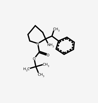 CC(c1ccccc1)C1(N)CCCCN1C(=O)OC(C)(C)C